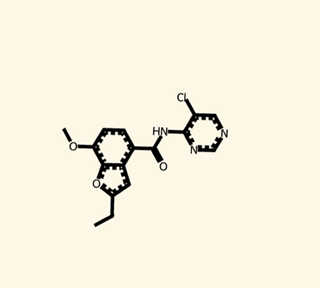 CCc1cc2c(C(=O)Nc3ncncc3Cl)ccc(OC)c2o1